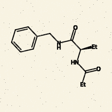 CCC(=O)N[C@H](CC)C(=O)NCc1ccccc1